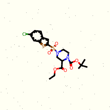 CCOC(=O)C1CN(S(=O)(=O)c2cc3ccc(Cl)cc3s2)CCN1C(=O)OC(C)(C)C